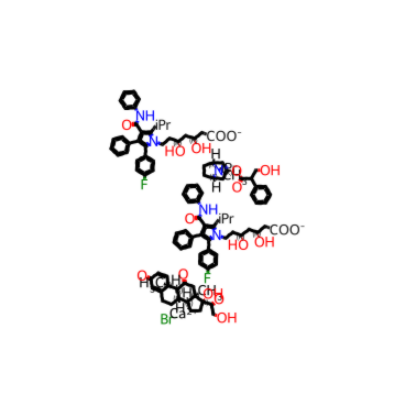 CC(C)[N+]1(C)[C@@H]2CC[C@H]1C[C@@H](OC(=O)C(CO)c1ccccc1)C2.CC(C)c1c(C(=O)Nc2ccccc2)c(-c2ccccc2)c(-c2ccc(F)cc2)n1CC[C@@H](O)C[C@@H](O)CC(=O)[O-].CC(C)c1c(C(=O)Nc2ccccc2)c(-c2ccccc2)c(-c2ccc(F)cc2)n1CC[C@@H](O)C[C@@H](O)CC(=O)[O-].C[C@]12C=CC(=O)C=C1CC[C@@H]1[C@@H]2C(=O)C[C@@]2(C)[C@H]1CC[C@]2(O)C(=O)CO.[Br-].[Ca+2]